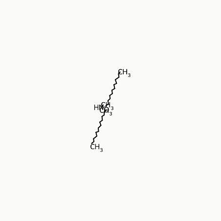 CCCCCCCCCCCCCCOCCCCCCCCCCCCCC.CNC